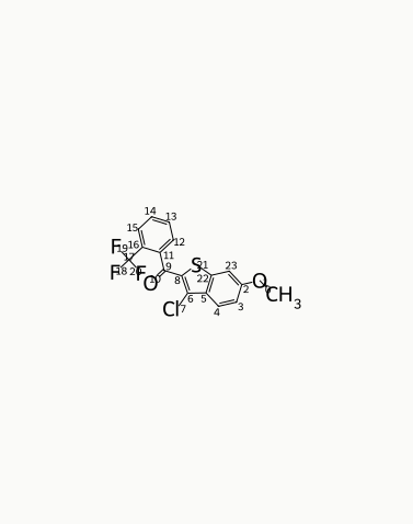 COc1ccc2c(Cl)c(C(=O)c3ccccc3C(F)(F)F)sc2c1